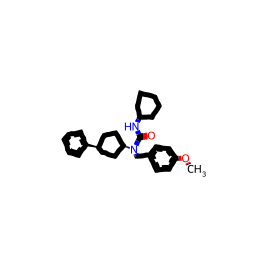 COc1ccc(CN(C(=O)NC2CCCCC2)[C@H]2CC[C@H](c3ccccc3)CC2)cc1